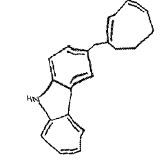 C1=CCCC(c2ccc3[nH]c4ccccc4c3c2)=C1